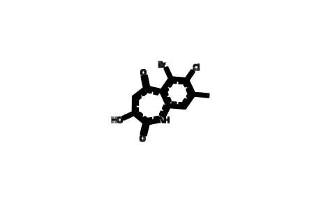 Cc1cc2[nH]c(=O)c(O)cc(=O)c2c(Br)c1Cl